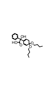 CCCCOC1(OCCCC)C=CC(C(O)(C(=O)O)c2ccccc2)=CC1